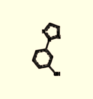 Oc1cccc(-n2nccn2)c1